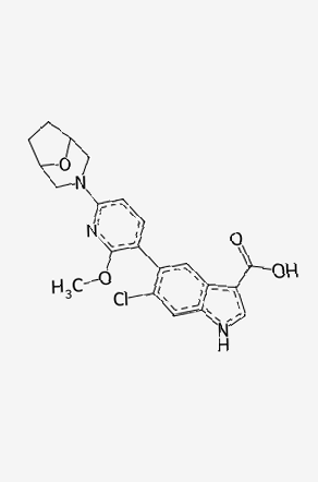 COc1nc(N2CC3CCC(C2)O3)ccc1-c1cc2c(C(=O)O)c[nH]c2cc1Cl